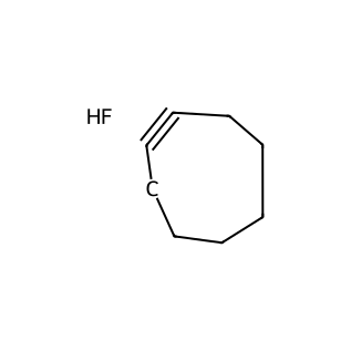 C1#CCCCCCC1.F